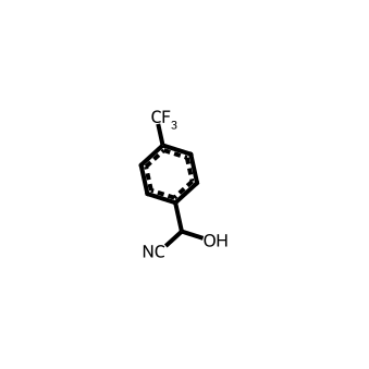 N#CC(O)c1ccc(C(F)(F)F)cc1